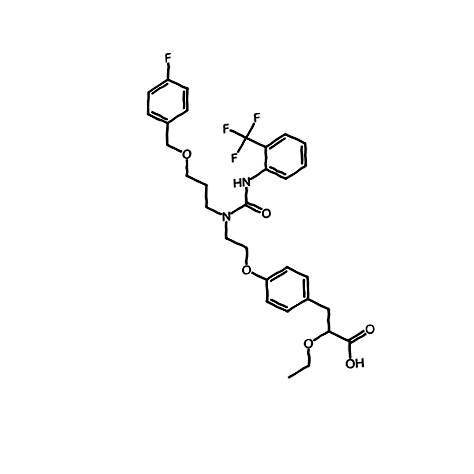 CCOC(Cc1ccc(OCCN(CCCOCc2ccc(F)cc2)C(=O)Nc2ccccc2C(F)(F)F)cc1)C(=O)O